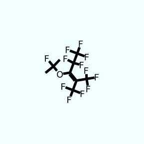 CC(C)(F)OC(=C(C(F)(F)F)C(F)(F)F)C(F)(F)C(F)(F)F